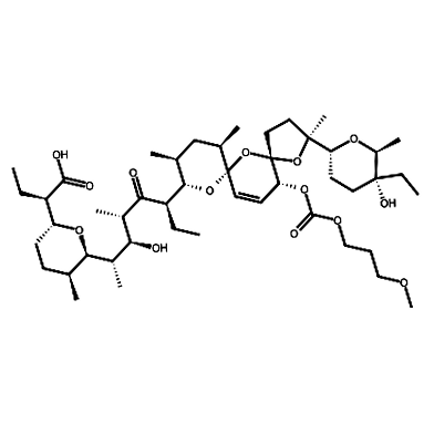 CC[C@@H](C(=O)[C@@H](C)[C@@H](O)[C@H](C)[C@@H]1O[C@@H]([C@@H](CC)C(=O)O)CC[C@@H]1C)[C@H]1O[C@]2(C=C[C@@H](OC(=O)OCCCOC)[C@]3(CC[C@@](C)([C@H]4CC[C@](O)(CC)[C@H](C)O4)O3)O2)[C@H](C)C[C@@H]1C